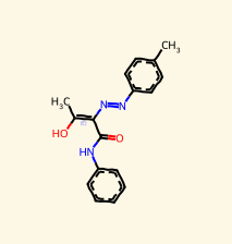 C/C(O)=C(\N=Nc1ccc(C)cc1)C(=O)Nc1ccccc1